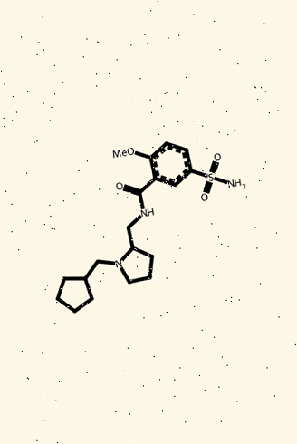 COc1ccc(S(N)(=O)=O)cc1C(=O)NCC1CCCN1CC1CCCC1